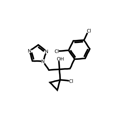 OC(Cc1ccc(Cl)cc1Cl)(Cn1cncn1)C1(Cl)CC1